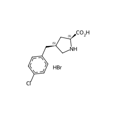 Br.O=C(O)[C@@H]1C[C@H](Cc2ccc(Cl)cc2)CN1